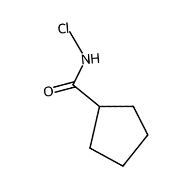 O=C(NCl)C1CCCC1